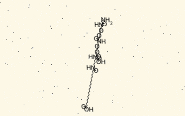 NCC(=O)NCCOCCOCC(=O)NCCOCCOCC(=O)NC(CCCCNC(=O)CCCCCCCCCCCCCCCCCCCCC(=O)O)C(=O)O